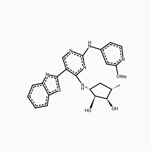 COc1cc(Nc2ncc(-c3nc4ccccc4s3)c(N[C@@H]3C[C@H](C)[C@@H](O)[C@H]3O)n2)ccn1